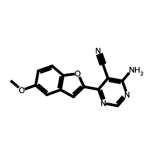 COc1ccc2oc(-c3ncnc(N)c3C#N)cc2c1